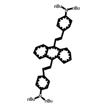 CCCCN(CCCC)c1ccc(/C=C/c2c3ccccc3c(/C=C/c3ccc(N(CCCC)CCCC)cc3)c3ccccc23)cc1